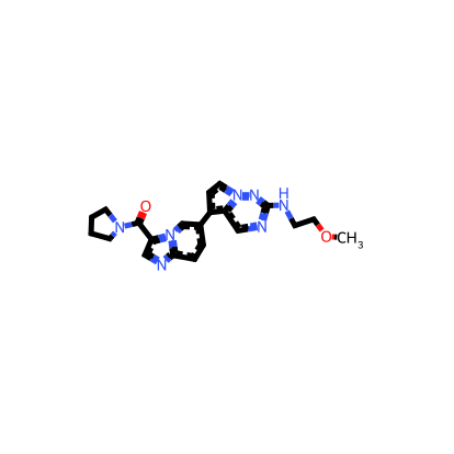 COCCNc1ncc2c(-c3ccc4ncc(C(=O)N5CCCC5)n4c3)ccn2n1